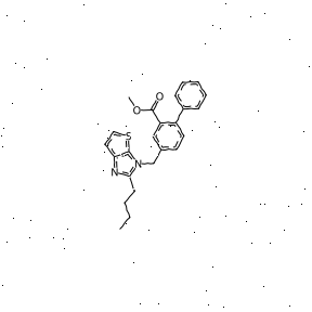 CCCCc1nc2ccsc2n1Cc1ccc(-c2ccccc2)c(C(=O)OC)c1